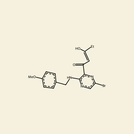 CCC(O)=CC(=O)c1nc(Br)cnc1NCc1ccc(OC)cc1